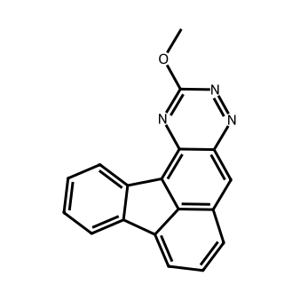 COc1nnc2cc3cccc4c3c(c2n1)-c1ccccc1-4